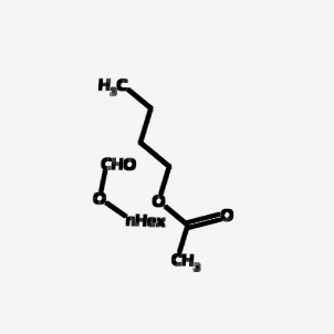 CCCCCCOC=O.CCCCOC(C)=O